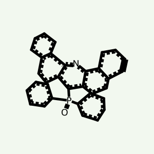 O=P(c1ccccc1)(c1ccccc1)c1c2ccc3c#cccc3c2nc2c1ccc1ccccc12